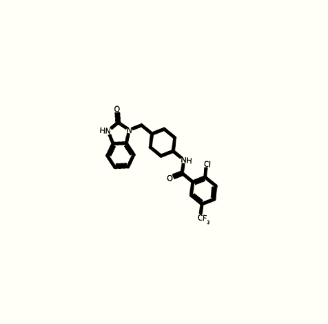 O=C(NC1CCC(Cn2c(=O)[nH]c3ccccc32)CC1)c1cc(C(F)(F)F)ccc1Cl